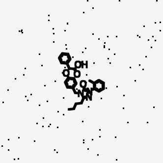 CCCCc1nn(-c2ccccc2C)c(=O)n1Cc1ccc(OC(C(=O)O)c2ccccc2)cc1